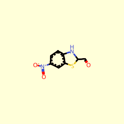 O=CC1Nc2ccc([N+](=O)[O-])cc2S1